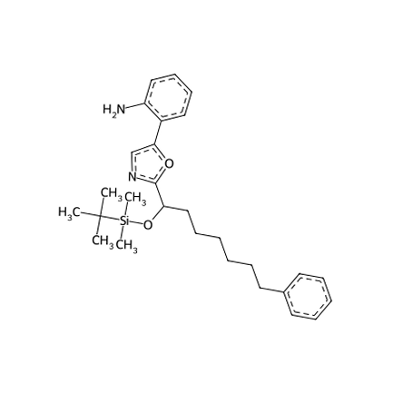 CC(C)(C)[Si](C)(C)OC(CCCCCCc1ccccc1)c1ncc(-c2ccccc2N)o1